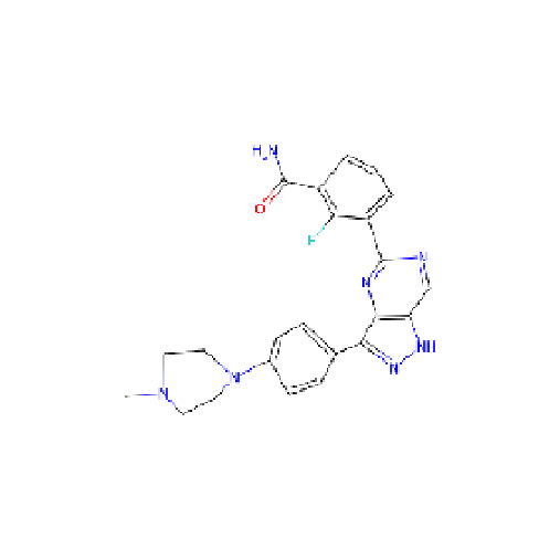 CN1CCN(c2ccc(-c3n[nH]c4cnc(-c5cccc(C(N)=O)c5F)nc34)cc2)CC1